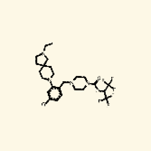 CCN1CCC2(CCN(c3cc(Cl)ccc3CN3CCN(C(=O)OC(C(F)(F)F)C(F)(F)F)CC3)CC2)C1